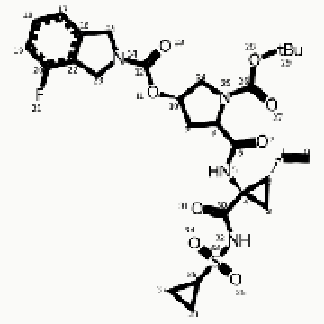 C=C[C@@H]1C[C@]1(NC(=O)C1C[C@@H](OC(=O)N2Cc3cccc(F)c3C2)CN1C(=O)OC(C)(C)C)C(=O)NS(=O)(=O)C1CC1